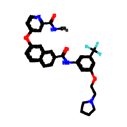 CNC(=O)c1cc(Oc2ccc3ccc(C(=O)Nc4cc(OCCN5CCCC5)cc(C(F)(F)F)c4)cc3c2)ccn1